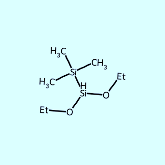 CCO[SiH](OCC)[Si](C)(C)C